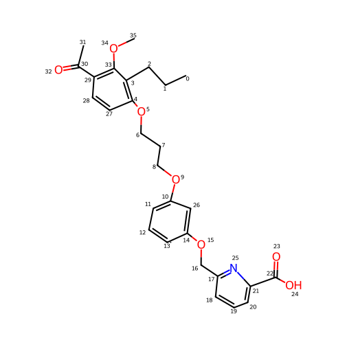 CCCc1c(OCCCOc2cc[c]c(OCc3cccc(C(=O)O)n3)c2)ccc(C(C)=O)c1OC